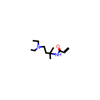 C=CC(=O)NC(C)(C)CCN(CC)CC